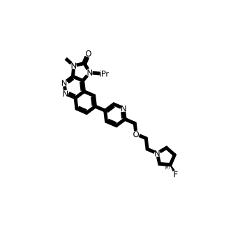 CC(C)n1c(=O)n(C)c2nnc3ccc(-c4ccc(COCCN5CC[C@@H](F)C5)nc4)cc3c21